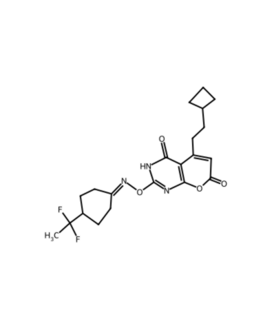 CC(F)(F)C1CCC(=NOc2nc3oc(=O)cc(CCC4CCC4)c3c(=O)[nH]2)CC1